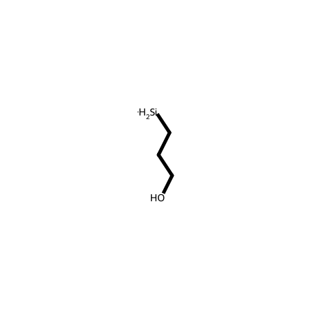 OCCC[SiH2]